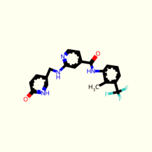 Cc1c(NC(=O)c2ccnc(NCc3ccc(=O)[nH]c3)c2)cccc1C(F)(F)F